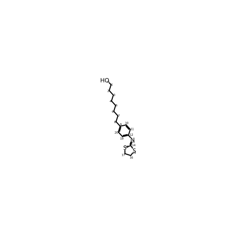 OCCCCCCCCc1ccc(N=C2SCCS2)cc1